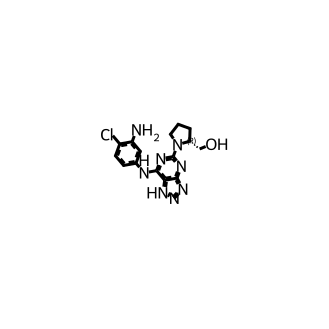 Nc1cc(Nc2nc(N3CCC[C@@H]3CO)nc3nn[nH]c23)ccc1Cl